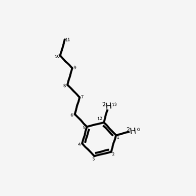 [2H]c1cccc(CCCCCC)c1[2H]